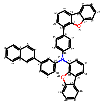 c1cc(-c2ccc3ccccc3c2)cc(N(c2ccc(-c3cccc4c3oc3ccccc34)cc2)c2cccc3c2oc2ccccc23)c1